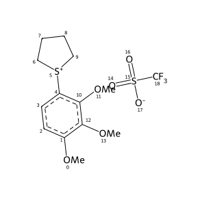 COc1ccc([S+]2CCCC2)c(OC)c1OC.O=S(=O)([O-])C(F)(F)F